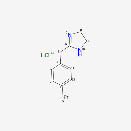 CC(C)c1ccc(CC2=NCCN2)cc1.Cl